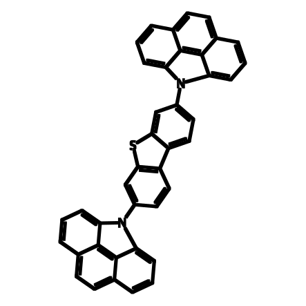 c1cc2ccc3cccc4c3c2c(c1)n4-c1ccc2c(c1)sc1cc(-n3c4cccc5ccc6cccc3c6c54)ccc12